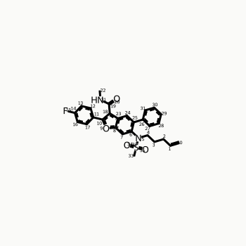 C=CCCCN(c1cc2oc(-c3ccc(F)cc3)c(C(=O)NC)c2cc1-c1ccccc1)S(C)(=O)=O